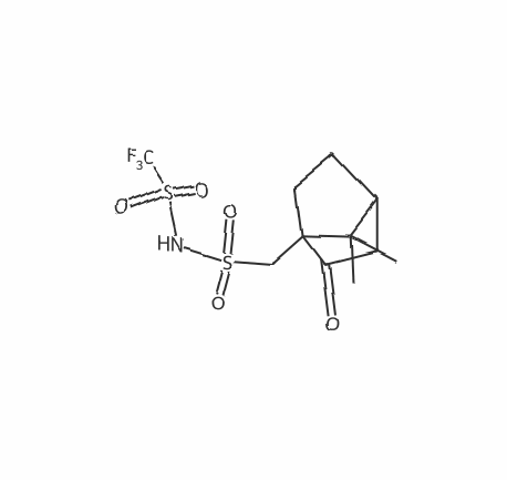 CC1(C)C2CCC1(CS(=O)(=O)NS(=O)(=O)C(F)(F)F)C(=O)C2